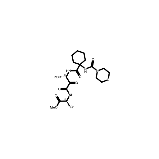 CCCC[C@H](NC(=O)C1(NC(=O)N2CCOCC2)CCCCC1)C(=O)C(=O)N[C@H](C(=O)OC)C(C)C